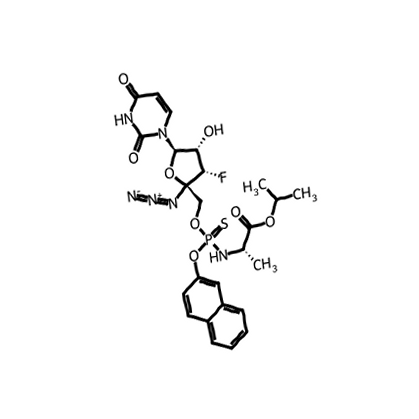 CC(C)OC(=O)[C@H](C)NP(=S)(OC[C@@]1(N=[N+]=[N-])O[C@@H](n2ccc(=O)[nH]c2=O)[C@H](O)[C@@H]1F)Oc1ccc2ccccc2c1